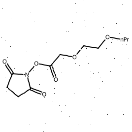 CCCOCCOCC(=O)ON1C(=O)CCC1=O